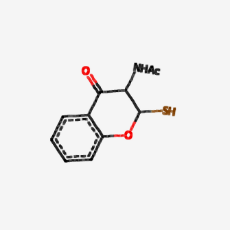 CC(=O)NC1C(=O)c2ccccc2OC1S